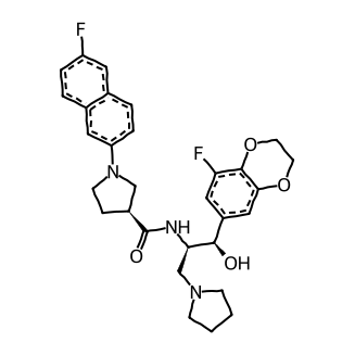 O=C(N[C@H](CN1CCCC1)[C@H](O)c1cc(F)c2c(c1)OCCO2)[C@H]1CCN(c2ccc3cc(F)ccc3c2)C1